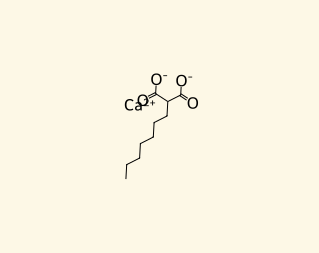 CCCCCCCC(C(=O)[O-])C(=O)[O-].[Ca+2]